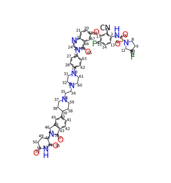 N#Cc1c(NS(=O)(=O)N2CC[C@@H](F)C2)ccc(F)c1Oc1ccc2ncn(-c3ccc(N4CCN(CCN5CCC(c6ccc7c(c6)CN(C6CCC(=O)NC6=O)C7=O)CC5)CC4)cc3)c(=O)c2c1